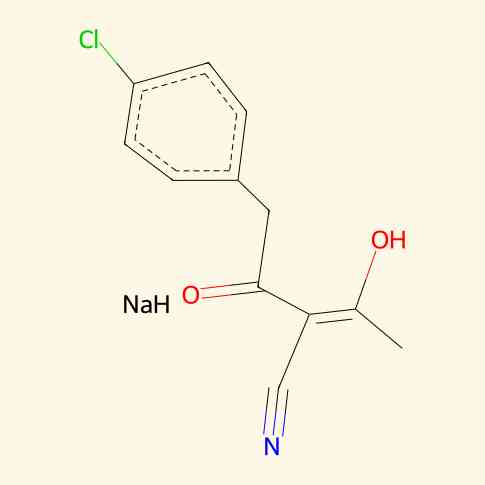 CC(O)=C(C#N)C(=O)Cc1ccc(Cl)cc1.[NaH]